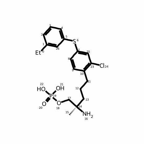 CCc1cccc(Sc2ccc(CCC[C@@](C)(N)COP(=O)(O)O)c(Cl)c2)c1